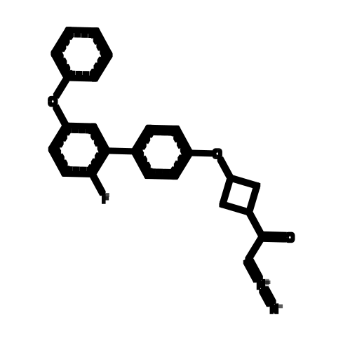 [N-]=[N+]=CC(=O)C1CC(Oc2ccc(-c3cc(Oc4ccccc4)ccc3F)cc2)C1